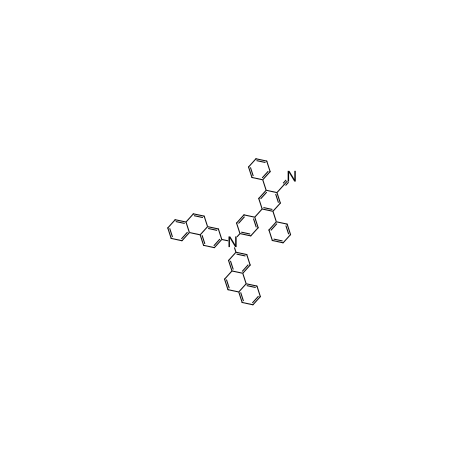 N#Cc1cc(-c2ccccc2)c(-c2ccc(N(c3ccc4c(ccc5ccccc54)c3)c3ccc4c(ccc5ccccc54)c3)cc2)cc1-c1ccccc1